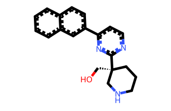 OC[C@]1(c2nccc(-c3ccc4ccccc4c3)n2)CCCNC1